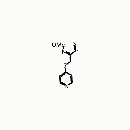 CON=C([C]=S)CSc1ccncc1